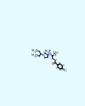 CCC(CC)N1CCC(N(C)C(=O)CCC(=O)c2ccc(Cl)cc2)C1.Cl